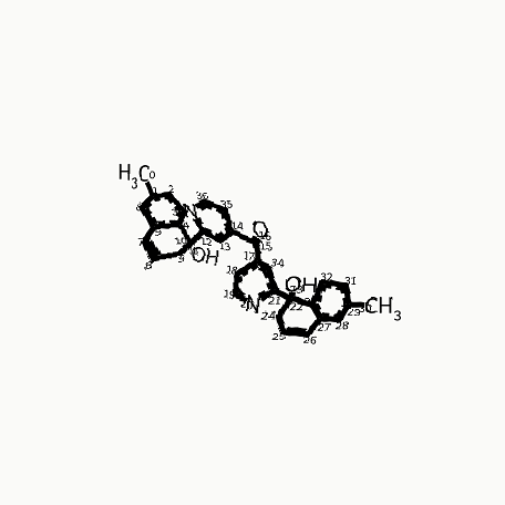 Cc1ccc2c(c1)C=CCC2(O)c1cc(C(=O)c2ccnc(C3(O)CC=Cc4cc(C)ccc43)c2)ccn1